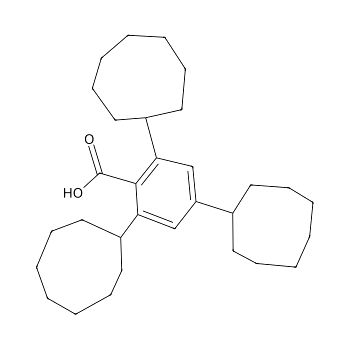 O=C(O)c1c(C2CCCCCCC2)cc(C2CCCCCCC2)cc1C1CCCCCCC1